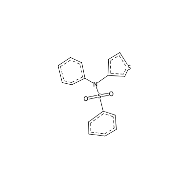 O=S(=O)(c1ccccc1)N(c1ccccc1)c1ccsc1